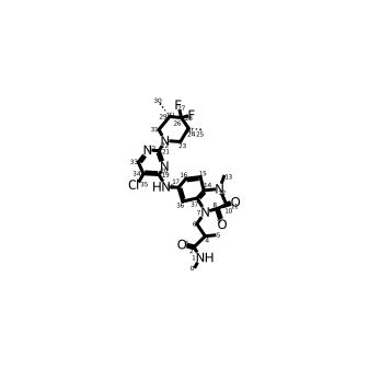 CNC(=O)C(C)Cn1c(=O)c(=O)n(C)c2ccc(Nc3nc(N4C[C@@H](C)C(F)(F)[C@@H](C)C4)ncc3Cl)cc21